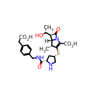 C[C@@H](O)[C@H]1C(=O)N2C(C(=O)O)=C(S[C@@H]3CN[C@H](C(=O)NCc4ccc(CC(=O)O)cc4)C3)[C@H](C)[C@H]12